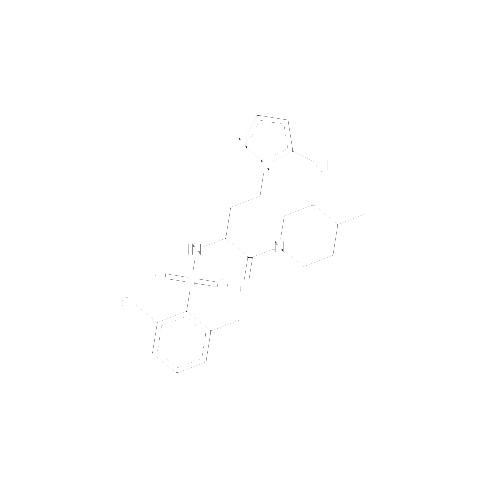 Cc1cccc(Cl)c1S(=O)(=O)NC(CCn1nccc1Cl)C(=O)N1CCC(C)CC1